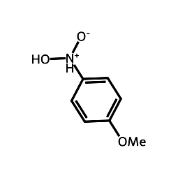 COc1ccc([NH+]([O-])O)cc1